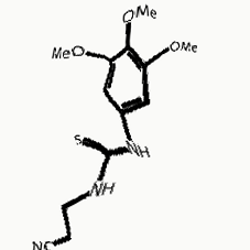 COc1cc(NC(=S)NCCC#N)cc(OC)c1OC